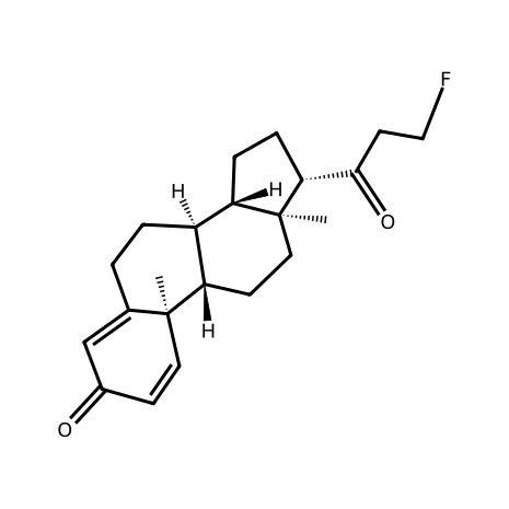 C[C@]12CC[C@H]3[C@@H](CCC4=CC(=O)C=C[C@@]43C)[C@@H]1CC[C@@H]2C(=O)CCF